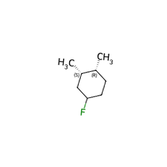 C[C@@H]1CCC(F)C[C@@H]1C